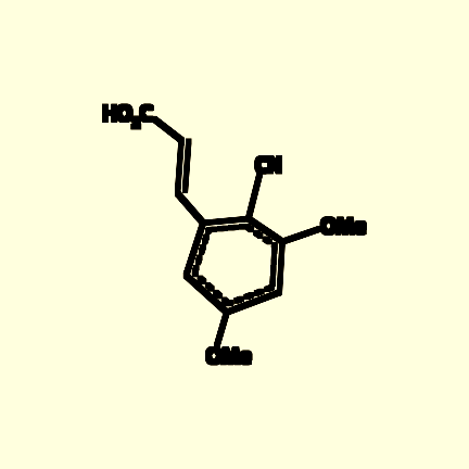 COc1cc(C=CC(=O)O)c(C#N)c(OC)c1